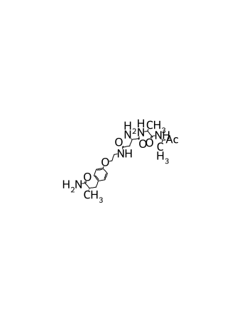 CC(=O)[C@@H](C)NC(=O)[C@H](C)NC(=O)[C@@H](N)CC(=O)NCCOc1ccc(C[C@H](C)C(N)=O)cc1